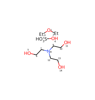 CCOCC.O=S(=O)(O)O.OCCN(CCO)CCO